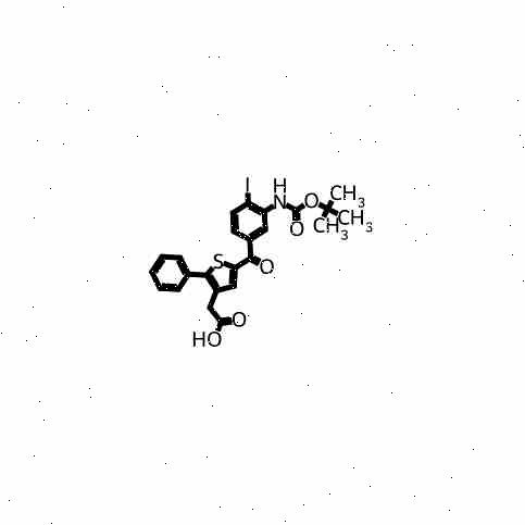 CC(C)(C)OC(=O)Nc1cc(C(=O)c2cc(CC(=O)O)c(-c3ccccc3)s2)ccc1I